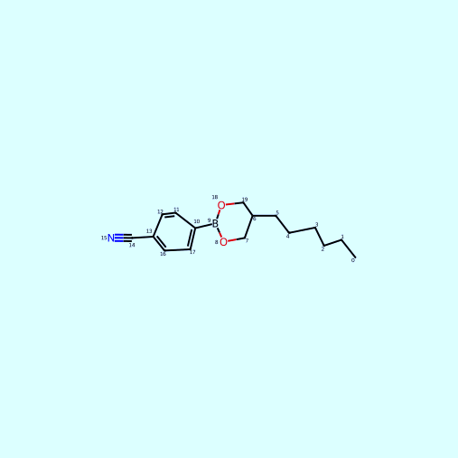 CCCCCCC1COB(c2ccc(C#N)cc2)OC1